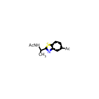 CC(=O)NC(C)c1nc2cc(C(C)=O)ccc2s1